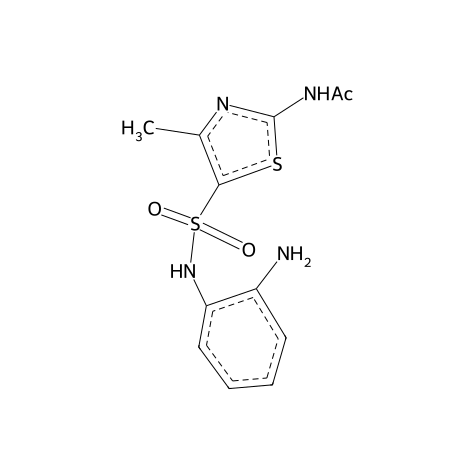 CC(=O)Nc1nc(C)c(S(=O)(=O)Nc2ccccc2N)s1